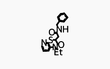 CCN1C(=O)C(CC(=O)NCc2ccccc2)Sc2ncccc21